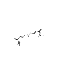 C=C(C=C[CH2][V][CH2]C=CC(=C)[SiH](C)C)[SiH](C)C